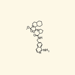 COC(=O)N1CCC2CCCCC2C1C(=O)N1CCC[C@H]1C(=O)NCc1ccc2c(N)nccc2c1